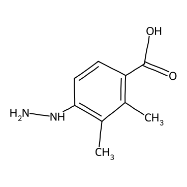 Cc1c(NN)ccc(C(=O)O)c1C